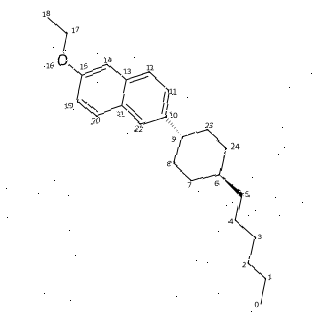 CCCCCC[C@H]1CC[C@H](c2ccc3cc(OCC)ccc3c2)CC1